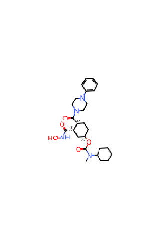 CN(C(=O)O[C@@H]1CC[C@H](C(=O)N2CCN(c3ccccc3)CC2)[C@@H](C(=O)NO)C1)C1CCCCC1